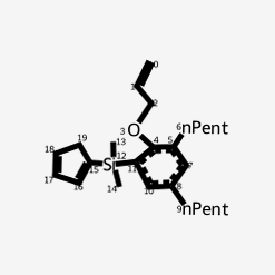 C=CCOc1c(CCCCC)cc(CCCCC)cc1[Si](C)(C)C1=CC=CC1